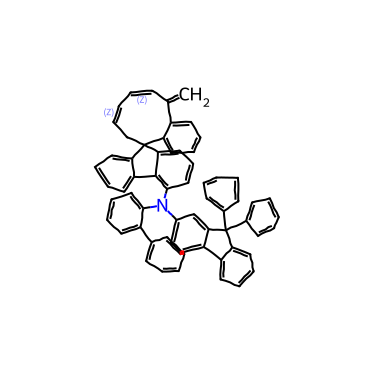 C=C1/C=C\C=C/CC2(c3ccccc31)c1ccccc1-c1c(N(c3ccc4c(c3)C(c3ccccc3)(c3ccccc3)c3ccccc3-4)c3ccccc3-c3ccccc3)cccc12